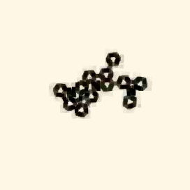 c1ccc(-c2cccc(-c3ccccc3N(c3ccc(-c4ccc5c6ccccc6n(-c6ccccc6)c5c4)cc3)c3ccc4c(c3)C3(c5ccccc5-4)c4ccccc4-n4c5ccccc5c5cccc3c54)c2)cc1